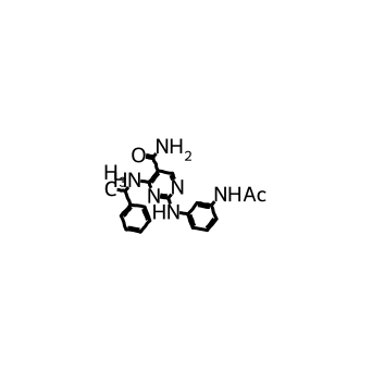 CC(=O)Nc1cccc(Nc2ncc(C(N)=O)c(NC(C)c3ccccc3)n2)c1